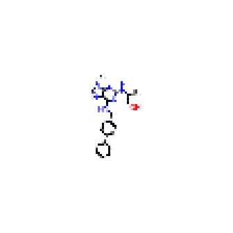 CCCn1cnc2c(NCc3ccc(-c4ccccc4)cc3)nc(NC(CC)CO)nc21